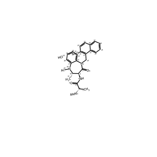 CN[C@@H](C)C(=O)N[C@@H]1C(=O)N(Cc2c(OC)ccc3ccccc23)c2ccccc2N(C(C)=O)[C@H]1C.Cl